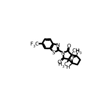 CC12C(=O)N(c3nc4ccc(C(F)(F)F)cc4s3)C(=O)[C@@]1(C)[C@@H]1CC[C@H]2O1